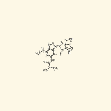 CNc1nc(NC(=O)C(C)C)nc2c1ncn2[C@@H]1OC(CO)(CCl)[C@@H](O)[C@@H]1F